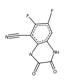 N#Cc1c(F)c(F)cc2c1[N]C(=O)C(=O)N2